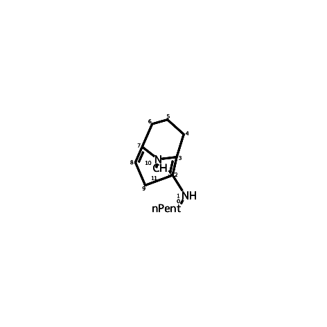 CCCCCNC1=C2CCCC(=CC1)N2C